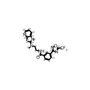 CN(CCNC(=O)c1cccc(-c2noc(C(F)(F)F)n2)c1)c1nc2cccnc2s1